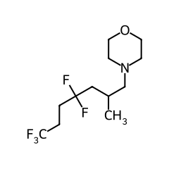 CC(CN1CCOCC1)CC(F)(F)CCC(F)(F)F